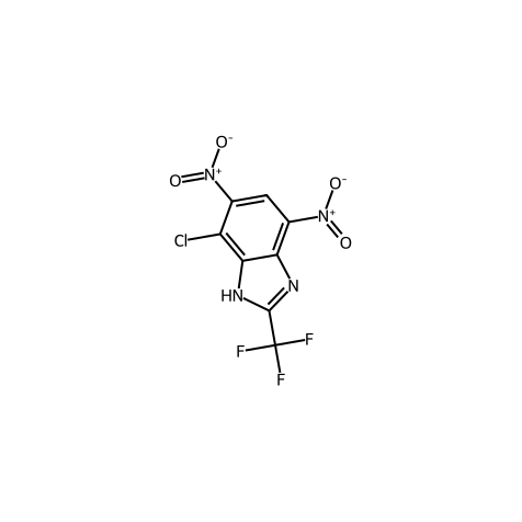 O=[N+]([O-])c1cc([N+](=O)[O-])c2nc(C(F)(F)F)[nH]c2c1Cl